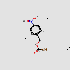 O=C(S)OCc1ccc([N+](=O)[O-])cc1